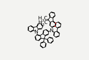 CC1(C)c2ccccc2-c2ccc(N(c3ccc4c(c3)C(c3ccccc3)(c3ccccc3)c3cccc(-n5c6ccccc6c6ccccc65)c3-4)c3ccccc3-c3ccccc3)cc21